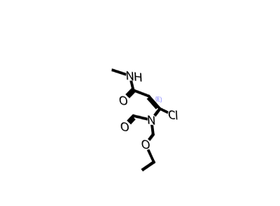 CCOCN(C=O)/C(Cl)=C\C(=O)NC